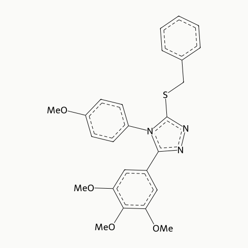 COc1ccc(-n2c(SCc3ccccc3)nnc2-c2cc(OC)c(OC)c(OC)c2)cc1